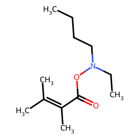 CCCCN(CC)OC(=O)C(C)=C(C)C